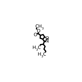 CCCCC(CC)C1=NOC2CC(C(=O)OCC)CC12